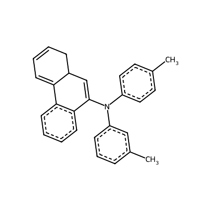 Cc1ccc(N(C2=CC3CC=CC=C3c3ccccc32)c2cccc(C)c2)cc1